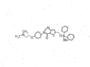 CN(C)CCOc1ccc(-n2cnc3cc(CO[Si](c4ccccc4)(c4ccccc4)C(C)(C)C)sc3c2=O)cc1